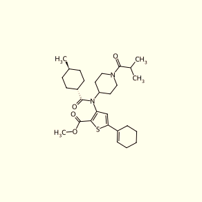 COC(=O)c1sc(C2=CCCCC2)cc1N(C(=O)[C@H]1CC[C@H](C)CC1)C1CCN(C(=O)C(C)C)CC1